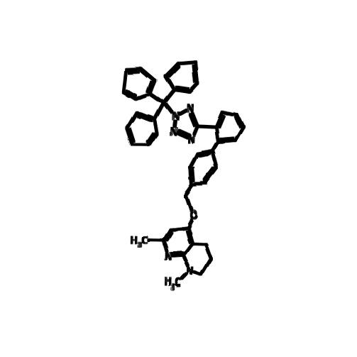 Cc1cc(OCc2ccc(-c3ccccc3-c3nnn(C(c4ccccc4)(c4ccccc4)c4ccccc4)n3)cc2)c2c(n1)N(C)CCC2